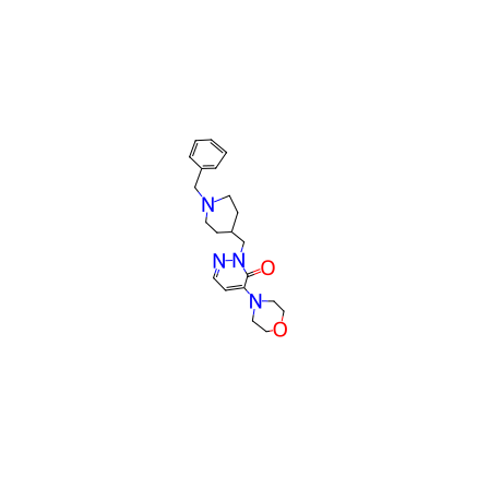 O=c1c(N2CCOCC2)ccnn1CC1CCN(Cc2ccccc2)CC1